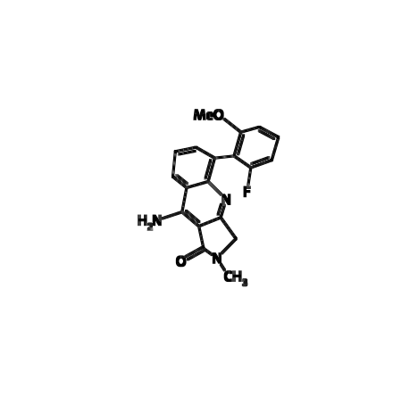 COc1cccc(F)c1-c1cccc2c(N)c3c(nc12)CN(C)C3=O